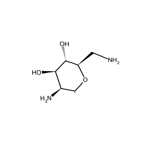 NC[C@H]1O[CH][C@@H](N)[C@@H](O)[C@@H]1O